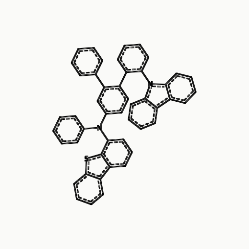 c1ccc(-c2cc(N(c3ccccc3)c3cccc4c3sc3ccccc34)ccc2-c2ccccc2-n2c3ccccc3c3ccccc32)cc1